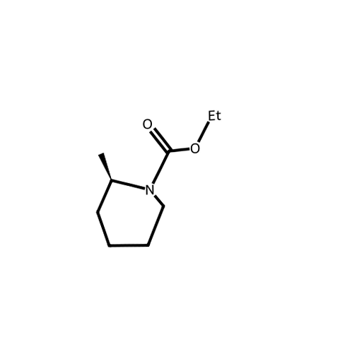 CCOC(=O)N1CCCC[C@H]1C